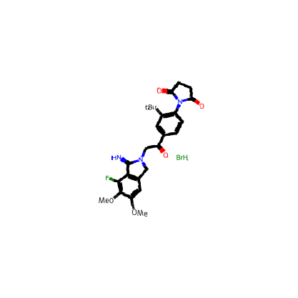 Br.COc1cc2c(c(F)c1OC)C(=N)N(CC(=O)c1ccc(N3C(=O)CCC3=O)c(C(C)(C)C)c1)C2